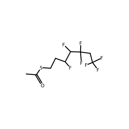 CC(=O)SCCC(F)C(F)C(F)(F)CC(F)(F)F